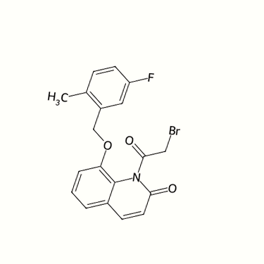 Cc1ccc(F)cc1COc1cccc2ccc(=O)n(C(=O)CBr)c12